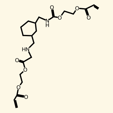 C=CC(=O)OCCOC(=O)CNCC1CCCC(CNC(=O)OCCOC(=O)C=C)C1